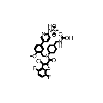 COc1ccc(-c2ccc(NS(C)(=O)=O)nc2)cc1CN(C(=O)c1sc2c(F)ccc(F)c2c1Cl)C1CCC(CNC(=O)O)CC1